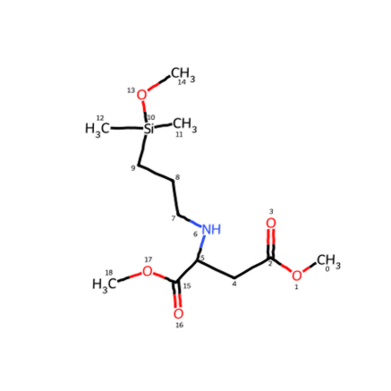 COC(=O)CC(NCCC[Si](C)(C)OC)C(=O)OC